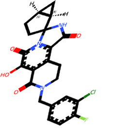 O=C1NC2(CC[C@H]3C[C@H]32)n2c1c1c(c(O)c2=O)C(=O)N(Cc2ccc(F)c(Cl)c2)CC1